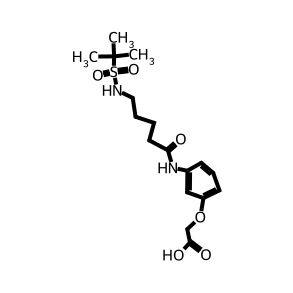 CC(C)(C)S(=O)(=O)NCCCCC(=O)Nc1cccc(OCC(=O)O)c1